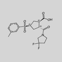 Cc1cccc(S(=O)(=O)[C@H]2C[C@@H](C(=O)O)[C@H](C(=O)N3CCC(F)(F)C3)C2)c1